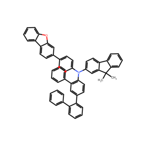 CC1(C)c2ccccc2-c2ccc(N(c3ccc(-c4ccc5c(c4)oc4ccccc45)cc3)c3ccc(-c4ccccc4-c4ccccc4)cc3-c3ccccc3)cc21